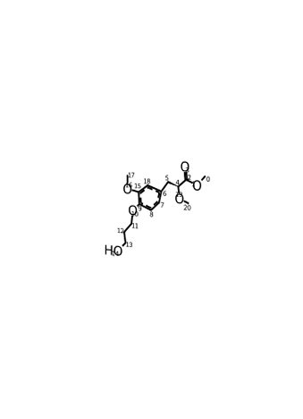 COC(=O)[C@H](Cc1ccc(OCCCO)c(OC)c1)OC